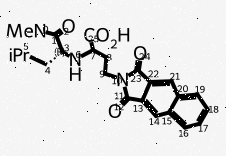 CNC(=O)[C@@H](CC(C)C)NC(CCN1C(=O)c2cc3ccccc3cc2C1=O)C(=O)O